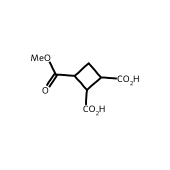 COC(=O)C1CC(C(=O)O)C1C(=O)O